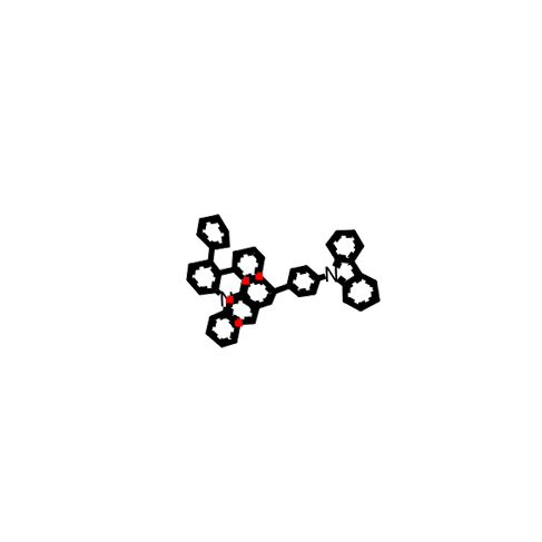 c1ccc(-c2ccccc2-c2c(-c3ccccc3)cccc2N(c2ccccc2)c2ccc(-c3ccc(-n4c5ccccc5c5ccccc54)cc3)cc2)cc1